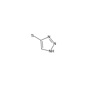 [Ti][c]1c[nH]nn1